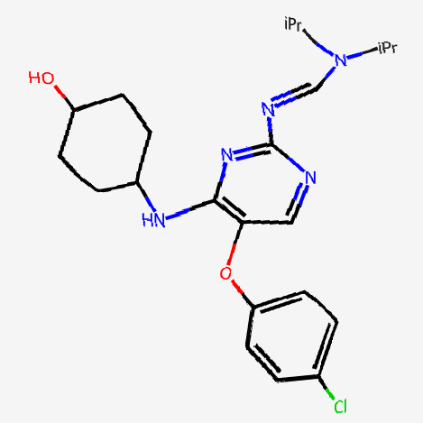 CC(C)N(/C=N/c1ncc(Oc2ccc(Cl)cc2)c(NC2CCC(O)CC2)n1)C(C)C